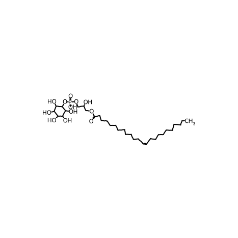 CCCCCCCCCC/C=C\CCCCCCCCCCCC(=O)OCC(O)COP(=O)(O)OC1C(O)C(O)C(O)C(O)C1O